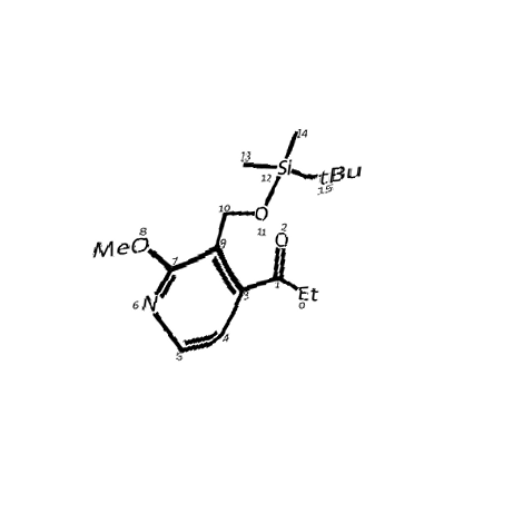 CCC(=O)c1ccnc(OC)c1CO[Si](C)(C)C(C)(C)C